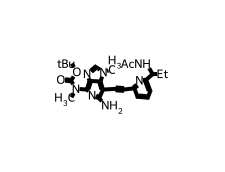 CCC(NC(C)=O)c1cccc(C#Cc2c(N)nc(N(C)C(=O)OC(C)(C)C)c3ncn(C)c23)n1